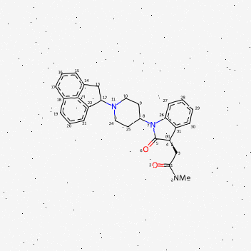 CNC(=O)C[C@H]1C(=O)N(C2CCN(C3Cc4cccc5cccc3c45)CC2)c2ccccc21